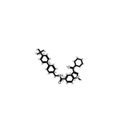 Cn1cc(C(=O)C2CCCCC2)c2cc(C(=O)NCc3ccc(-c4ccc(C(C)(C)C)cc4)cc3)ccc21